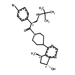 C[C@@H]1C[C@@H](O)c2ncnc(C3C[CH]N(C(=O)[C@H](CNC(C)(C)C)c4ccc(Br)cc4)CC3)c21